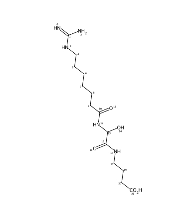 N=C(N)NCCCCCCC(=O)NC(O)C(=O)NCCCC(=O)O